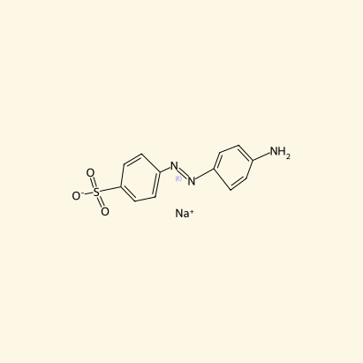 Nc1ccc(/N=N/c2ccc(S(=O)(=O)[O-])cc2)cc1.[Na+]